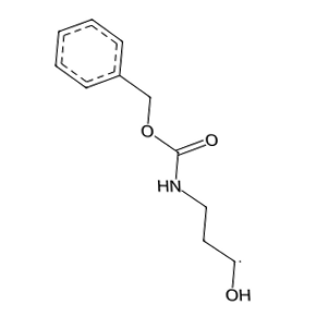 O=C(NCC[CH]O)OCc1ccccc1